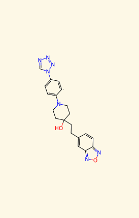 OC1(CCc2ccc3nonc3c2)CCN(c2[c]cc(-n3cnnn3)cc2)CC1